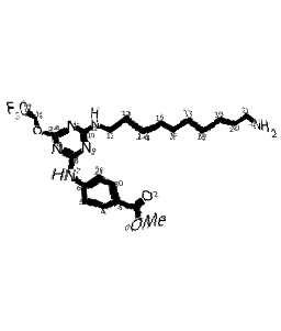 COC(=O)c1ccc(Nc2nc(NCCCCCCCCCCN)nc(OCC(F)(F)F)n2)cc1